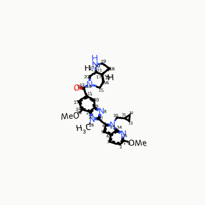 COc1ccc2cc(-c3nc4cc(C(=O)N5CC[C@@H]6CCN[C@@H]6C5)cc(OC)c4n3C)n(CC3CC3)c2n1